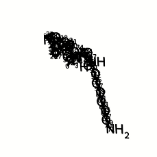 CCC(C)C(C(CC(=O)N1CCC[C@H]1C(OC)C(C)C(=O)NC(Cc1ccccc1)c1nccs1)OC)N(C)C(=O)C(NC(=O)C(C)(C)NC(=O)CCOCCOCCOCCOCCOCCOCCN)C(C)C